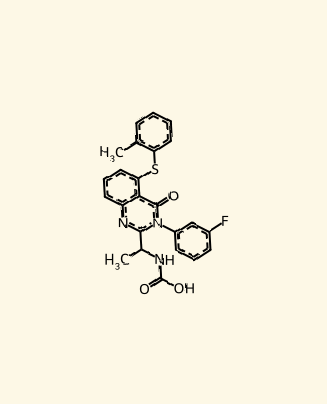 Cc1ccccc1Sc1cccc2nc(C(C)NC(=O)O)n(-c3cccc(F)c3)c(=O)c12